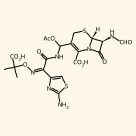 CC(=O)OC(NC(=O)/C(=N\OC(C)(C)C(=O)O)c1csc(N)n1)C1=C(C(=O)O)N2C(=O)[C@H](NC=O)[C@H]2SC1